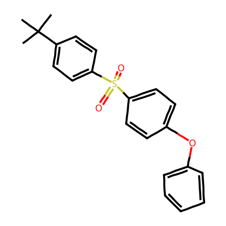 CC(C)(C)c1ccc(S(=O)(=O)c2ccc(Oc3ccccc3)cc2)cc1